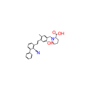 Cc1cc(CN2CCCCC2C(=O)O)c(O)cc1/C=C/c1cccc(-c2ccccc2)c1C#N